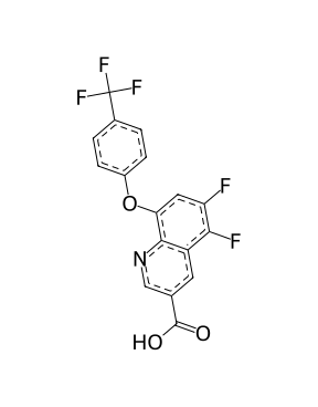 O=C(O)c1cnc2c(Oc3ccc(C(F)(F)F)cc3)cc(F)c(F)c2c1